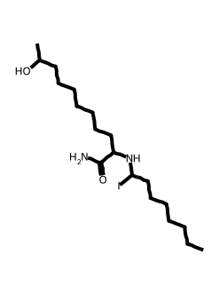 CCCCCCCC(I)NC(CCCCCCCC(C)O)C(N)=O